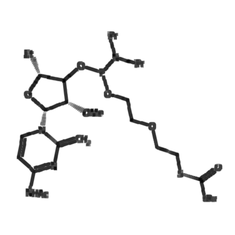 C=C1N=C(NC(C)=O)C=CN1[C@@H]1O[C@H](CC)C(OP(OCCOCCSC(=O)C(C)(C)C)N(C(C)C)C(C)C)[C@@H]1OC